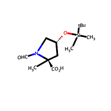 CC(C)(C)[Si](C)(C)O[C@H]1CN(C=O)[C@](C)(C(=O)O)C1